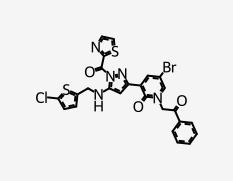 O=C(Cn1cc(Br)cc(-c2cc(NCc3ccc(Cl)s3)n(C(=O)c3nccs3)n2)c1=O)c1ccccc1